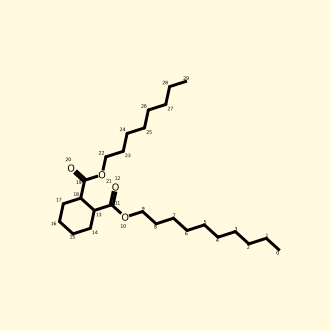 CCCCCCCCCCOC(=O)C1CCCCC1C(=O)OCCCCCCCC